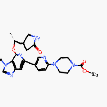 C[C@@H](Oc1nc(-c2ccc(N3CCN(C(=O)OC(C)(C)C)CC3)nc2)cc2ncn(C)c12)C1CNC(=O)C1